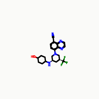 N#Cc1ccc(N2C[C@@H](NC3CCC(O)CC3)C[C@@H](C(F)(F)F)C2)c2nccnc12